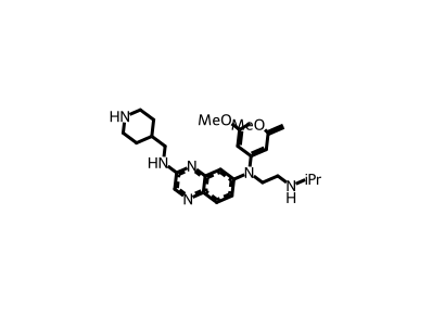 C=C(/C=C(\C=C(/C)OC)N(CCNC(C)C)c1ccc2ncc(NCC3CCNCC3)nc2c1)OC